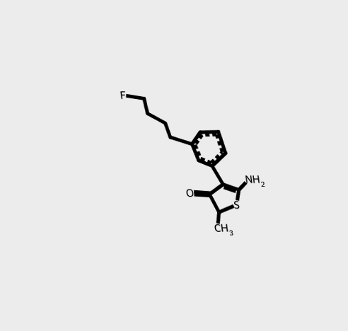 CC1SC(N)=C(c2cccc(CCCCF)c2)C1=O